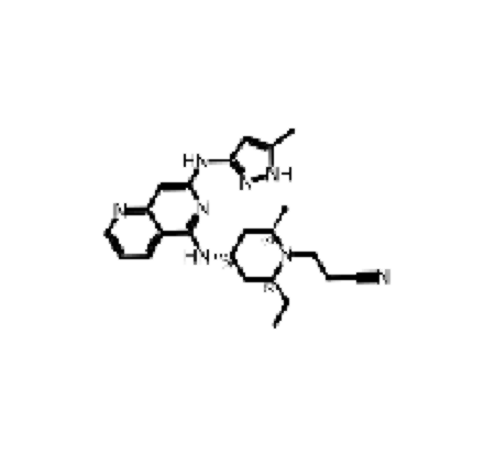 CC[C@H]1C[C@H](Nc2nc(Nc3cc(C)[nH]n3)cc3ncccc23)C[C@@H](C)N1CCC#N